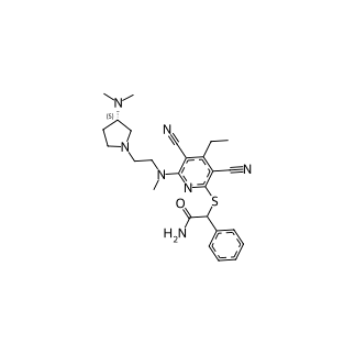 CCc1c(C#N)c(SC(C(N)=O)c2ccccc2)nc(N(C)CCN2CC[C@H](N(C)C)C2)c1C#N